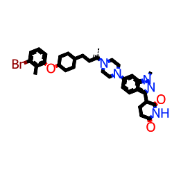 Cc1c(Br)cccc1OC1CCC(CC[C@H](C)N2CCN(c3ccc4c(C5CCC(=O)NC5=O)nn(C)c4c3)CC2)CC1